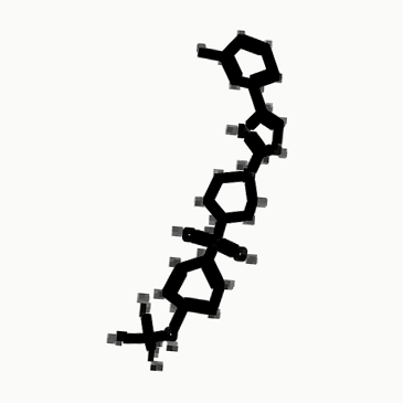 Cc1cccc(-c2csc(N3CCC(S(=O)(=O)c4ccc(OC(F)(F)F)cc4)CC3)n2)c1